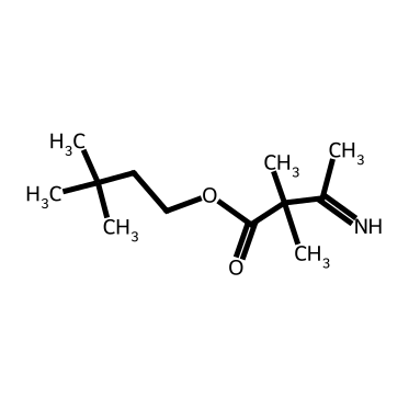 CC(=N)C(C)(C)C(=O)OCCC(C)(C)C